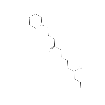 C=C(CCCCC(S)CCS)CCCN1CCCCC1